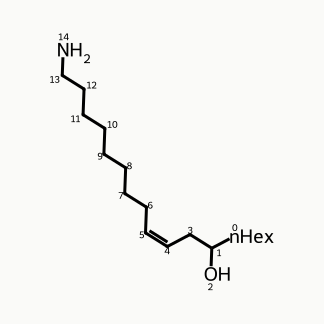 CCCCCCC(O)C/C=C\CCCCCCCCN